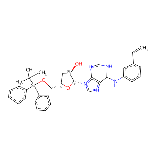 C=Cc1cccc(NC2NC=Nc3c2ncn3[C@@H]2O[C@H](CO[Si](c3ccccc3)(c3ccccc3)C(C)(C)C)C[C@H]2O)c1